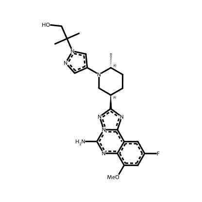 COc1cc(F)cc2c1nc(N)n1nc([C@@H]3CC[C@@H](C)N(c4cnn(C(C)(C)CO)c4)C3)nc21